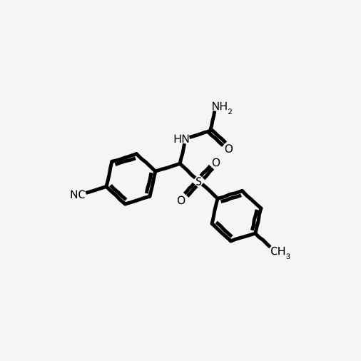 Cc1ccc(S(=O)(=O)C(NC(N)=O)c2ccc(C#N)cc2)cc1